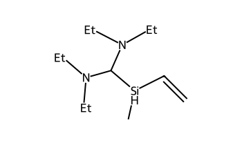 C=C[SiH](C)C(N(CC)CC)N(CC)CC